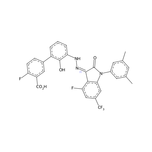 Cc1cc(C)cc(N2C(=O)/C(=N\Nc3cccc(-c4ccc(F)c(C(=O)O)c4)c3O)c3c(F)cc(C(F)(F)F)cc32)c1